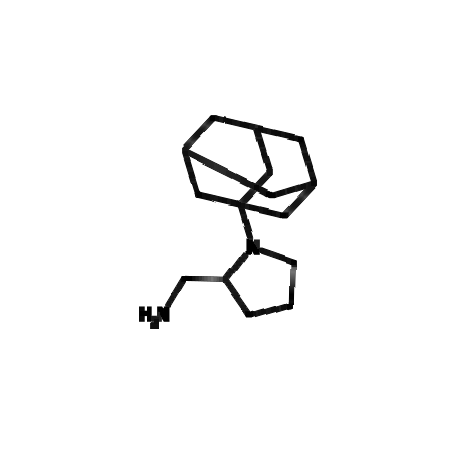 NCC1CCCN1C12CC3CC(CC(C3)C1)C2